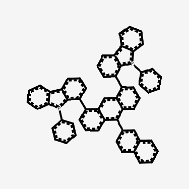 c1ccc(-p2c3ccccc3c3cccc(-c4cccc5c(-c6ccc7ccccc7c6)c6cccc(-c7cccc8c9ccccc9p(-c9ccccc9)c78)c6cc45)c32)cc1